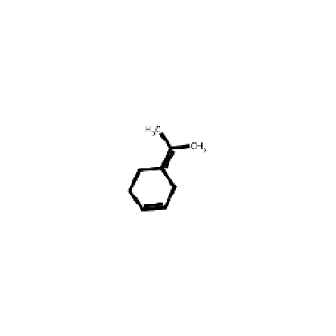 CC(C)=C1CC=CCC1